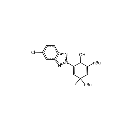 CCCCC1=CC(C)(CCCC)C=C(n2nc3ccc(Cl)cc3n2)C1O